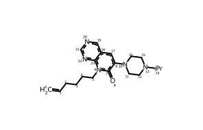 C=CCCCCn1c(=O)c(N2CCN(C(C)C)CC2)cc2cncnc21